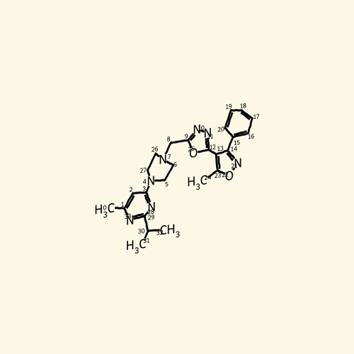 Cc1cc(N2CCN(Cc3nnc(-c4c(-c5ccccc5)noc4C)o3)CC2)nc(C(C)C)n1